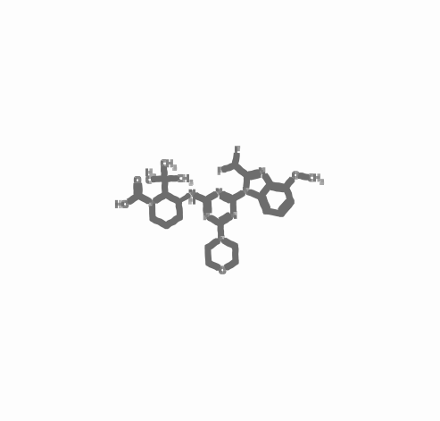 COc1cccc2c1nc(C(F)F)n2-c1nc(N[C@H]2CCCN(C(=O)O)C2C(C)(C)C)nc(N2CCOCC2)n1